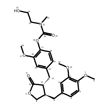 COc1ccc(C[C@H]2COC(=O)[C@@H]2Cc2ccc(OC(=O)N(C)CCO)c(OC)c2)cc1OC